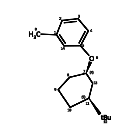 Cc1cccc(O[C@@H]2CCC[C@H](C(C)(C)C)C2)c1